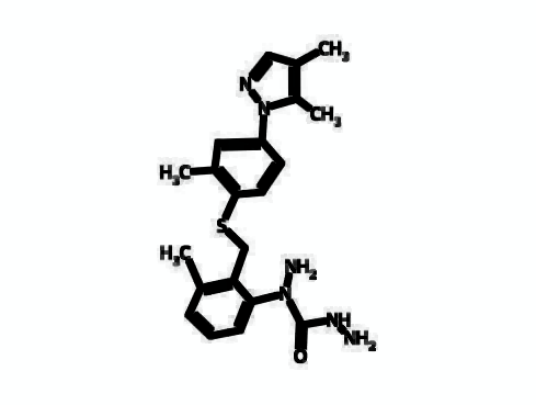 Cc1cc(-n2ncc(C)c2C)ccc1SCc1c(C)cccc1N(N)C(=O)NN